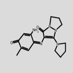 CC1=C/C(=N/c2c(N3CCCC3)n3n(c2=O)CCC3)C(N)=CC1=O